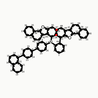 c1ccc(N(c2ccc(-c3ccc(-c4cccc5ccccc45)cc3)cc2)c2cccc3oc4c5ccccc5ccc4c23)c(-c2cccc3c2oc2c4ccccc4ccc32)c1